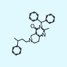 Cc1nc2c(c(=O)n1C(c1ccccc1)c1ccccc1)CN(CCC(C)c1ccccc1)CC2